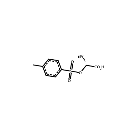 CCC[C@@H](OS(=O)(=O)c1ccc(C)cc1)C(=O)O